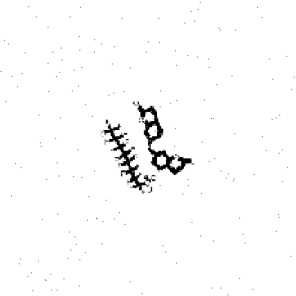 O=S(=O)([O-])C(F)(F)C(F)(F)C(F)(F)C(F)(F)C(F)(F)C(F)(F)C(F)(F)C(F)(F)F.O=c1ccc2ccc([I+]c3ccc4ccc(=O)oc4c3)cc2o1